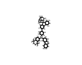 CC1(C)CCC(C)(C)c2cc(N(c3ccc(-c4ccc5c(c4)-c4ccccc4C54C5CC6CC7CC4C75C6)cc3)c3ccc4sc5ccccc5c4c3)ccc21